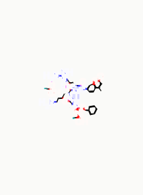 Cc1cc(=O)oc2cc(NC(=O)[C@H](CCCNC(=N)N)NC(=O)[C@H](CCCCN)NC(=O)[C@H](C)NC(=O)OCc3ccccc3)ccc12.O=C(O)C(F)(F)F.O=C(O)C(F)(F)F